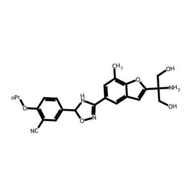 CCCOc1ccc(C2NC(c3cc(C)c4oc(C(N)(CO)CO)cc4c3)=NO2)cc1C#N